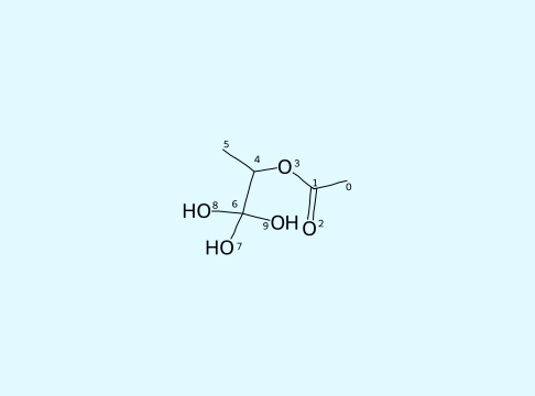 CC(=O)OC(C)C(O)(O)O